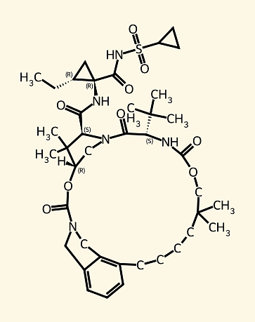 CC[C@@H]1C[C@]1(NC(=O)[C@H]1N2C[C@H](OC(=O)N3Cc4cccc(c4C3)CCCCC(C)(C)COC(=O)N[C@@H](C(C)(C)C)C2=O)C1(C)C)C(=O)NS(=O)(=O)C1CC1